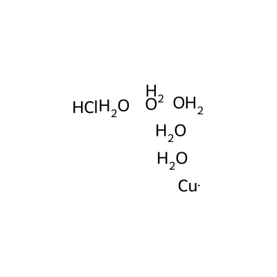 Cl.O.O.O.O.O.[Cu]